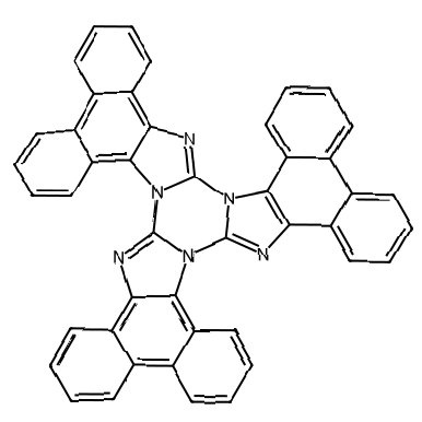 c1ccc2c(c1)c1ccccc1c1c2nc2n1c1nc3c4ccccc4c4ccccc4c3n1c1nc3c4ccccc4c4ccccc4c3n21